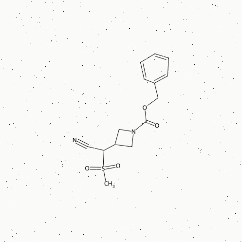 CS(=O)(=O)C(C#N)C1CN(C(=O)OCc2ccccc2)C1